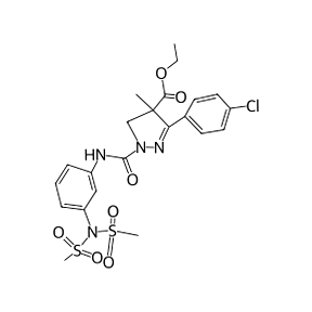 CCOC(=O)C1(C)CN(C(=O)Nc2cccc(N(S(C)(=O)=O)S(C)(=O)=O)c2)N=C1c1ccc(Cl)cc1